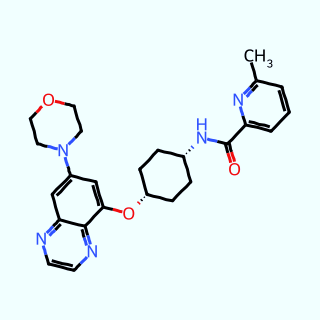 Cc1cccc(C(=O)N[C@H]2CC[C@@H](Oc3cc(N4CCOCC4)cc4nccnc34)CC2)n1